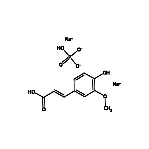 COc1cc(/C=C/C(=O)O)ccc1O.O=P([O-])([O-])O.[Na+].[Na+]